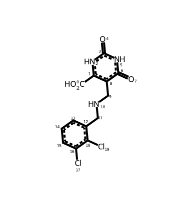 O=C(O)c1[nH]c(=O)[nH]c(=O)c1CNCc1cccc(Cl)c1Cl